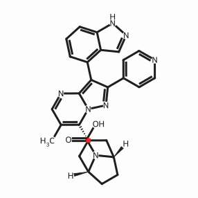 Cc1cnc2c(-c3cccc4[nH]ncc34)c(-c3ccncc3)nn2c1[C@H]1C[C@H]2CC[C@@H](C1)N2C(=O)O